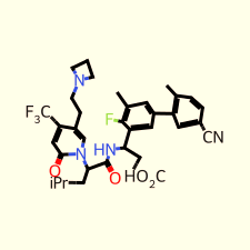 Cc1ccc(C#N)cc1-c1cc(C)c(F)c(C(CC(=O)O)NC(=O)C(CC(C)C)n2cc(CCN3CCC3)c(C(F)(F)F)cc2=O)c1